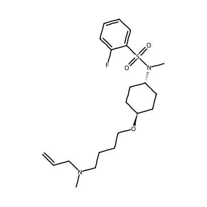 C=CCN(C)CCCCO[C@H]1CC[C@H](N(C)S(=O)(=O)c2ccccc2F)CC1